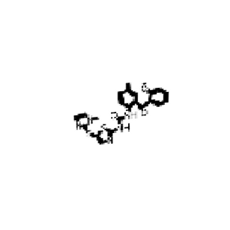 COc1ccccc1C(=O)c1cc(C)ccc1NC(=O)Nc1ncc(Sc2nccn2C)s1